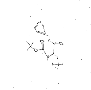 CN(C(=O)OC(C)(C)C)[C@@H](CC(C)(F)F)C(=O)OCc1ccccc1